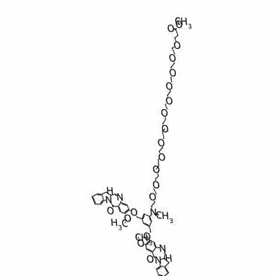 COC(=O)CCOCCOCCOCCOCCOCCOCCOCCOCCOCCOCCOCCOCCN(C)c1cc(COc2cc3c(cc2OC)C(=O)N2c4ccccc4C[C@H]2C=N3)cc(COc2cc3c(cc2OC)C(=O)N2c4ccccc4C[C@H]2C=N3)c1